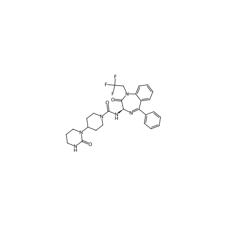 O=C(N[C@@H]1N=C(c2ccccc2)c2ccccc2N(CC(F)(F)F)C1=O)N1CCC(N2CCCNC2=O)CC1